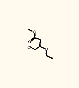 CCOC(CCl)CC(=O)OC